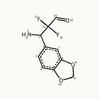 NC(c1ccc2c(c1)OCO2)C(F)(F)C=O